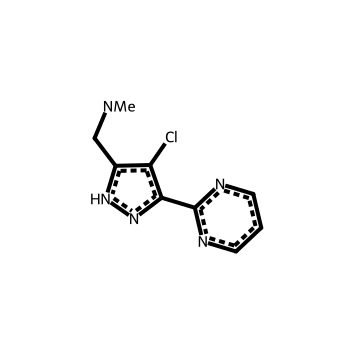 CNCc1[nH]nc(-c2ncccn2)c1Cl